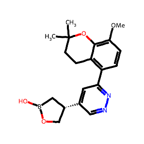 COc1ccc(-c2cc([C@@H]3COB(O)C3)cnn2)c2c1OC(C)(C)CC2